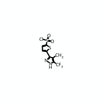 Cc1c(-c2ccc(S(=O)(=O)Cl)s2)n[nH]c1C(F)(F)F